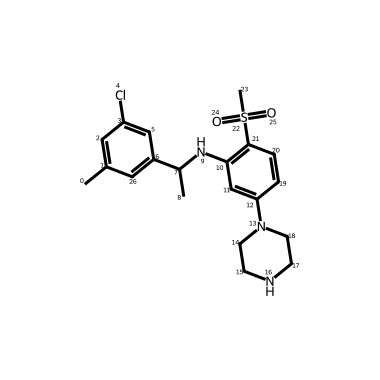 Cc1cc(Cl)cc(C(C)Nc2cc(N3CCNCC3)ccc2S(C)(=O)=O)c1